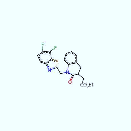 CCOC(=O)CC1Cc2ccccc2N(Cc2nc3ccc(F)c(F)c3s2)C1=O